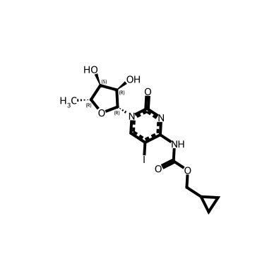 C[C@H]1O[C@@H](n2cc(I)c(NC(=O)OCC3CC3)nc2=O)[C@H](O)[C@@H]1O